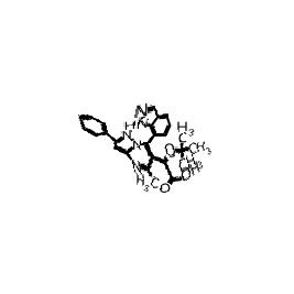 Cc1nc2cc(-c3ccccc3)nn2c(-c2cccc3cn[nH]c23)c1C(OC(C)(C)C)C(=O)O